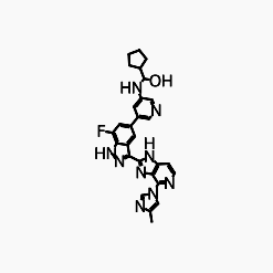 Cc1cn(-c2nccc3[nH]c(-c4n[nH]c5c(F)cc(-c6cncc(NC(O)C7CCCC7)c6)cc45)nc23)cn1